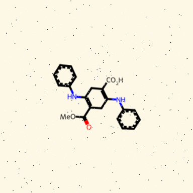 COC(=O)C1=C(Nc2ccccc2)CC(C(=O)O)=C(Nc2ccccc2)C1